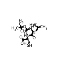 CC(C)C[C@@H](C(=O)N[C@@H](CS)C(=O)O)N(C)C(=O)OC(C)(C)C